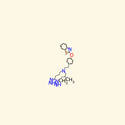 CCC(C)CN(CCC/C(N=N)=N/N)CCc1ccc(Oc2nc3ccccc3s2)cc1